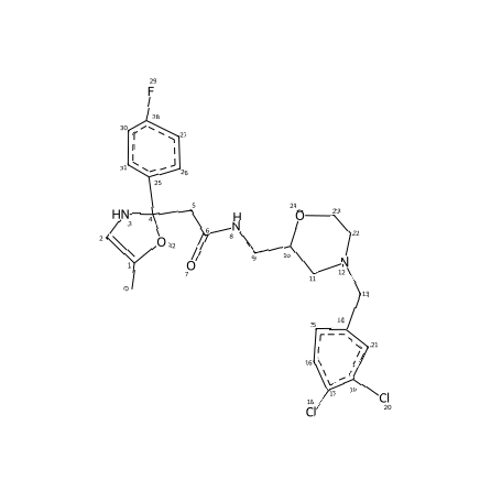 CC1=CNC(CC(=O)NCC2CN(Cc3ccc(Cl)c(Cl)c3)CCO2)(c2ccc(F)cc2)O1